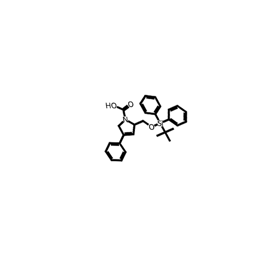 CC(C)(C)[Si](OCC1C=C(c2ccccc2)CN1C(=O)O)(c1ccccc1)c1ccccc1